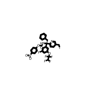 O=C(N[C@@](Cc1ccccc1)(c1cc(F)cc(OC(F)(F)C(F)F)c1)c1ccc(CI)cn1)Oc1ccc([N+](=O)[O-])cc1